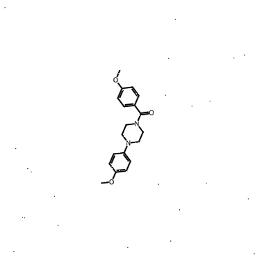 COc1ccc(C(=O)N2CCN(c3ccc(OC)cc3)CC2)cc1